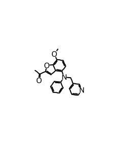 COc1ccc(N(Cc2cccnc2)c2ccccc2)c2cc(C(C)=O)oc12